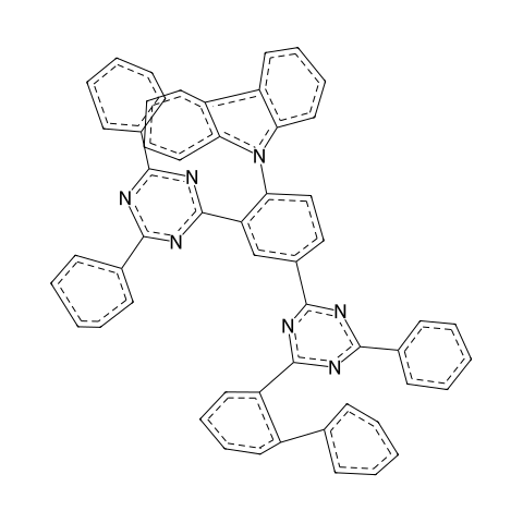 c1ccc(-c2nc(-c3ccc(-n4c5ccccc5c5ccccc54)c(-c4nc(-c5ccccc5)nc(-c5ccccc5)n4)c3)nc(-c3ccccc3-c3ccccc3)n2)cc1